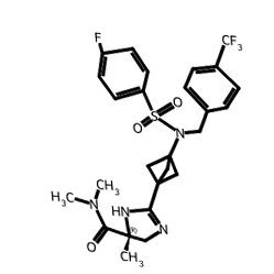 CN(C)C(=O)[C@@]1(C)CN=C(C23CC(N(Cc4ccc(C(F)(F)F)cc4)S(=O)(=O)c4ccc(F)cc4)(C2)C3)N1